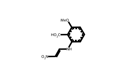 COc1cccc(N/C=C/[N+](=O)[O-])c1C(=O)O